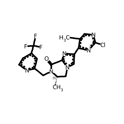 Cc1cnc(Cl)nc1-c1cn2c(n1)C(=O)N(Cc1cc(C(F)(F)F)ccn1)[C@@H](C)C2